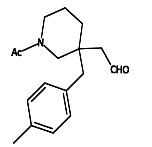 CC(=O)N1CCCC(CC=O)(Cc2ccc(C)cc2)C1